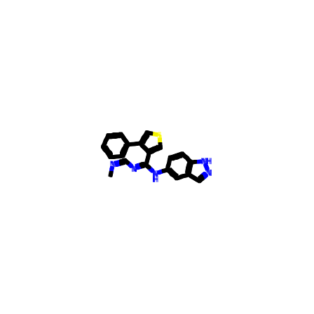 C/N=C\N=C(\Nc1ccc2[nH]ncc2c1)c1cscc1-c1ccccc1